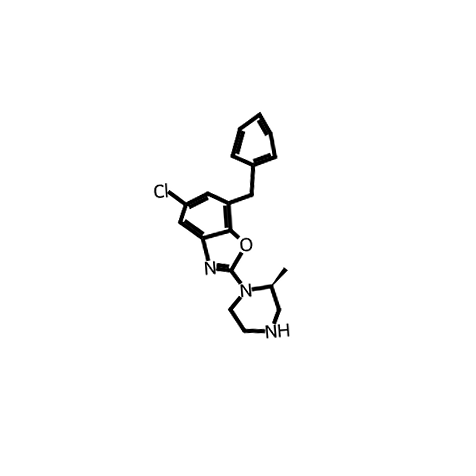 C[C@H]1CNCCN1c1nc2cc(Cl)cc(Cc3ccccc3)c2o1